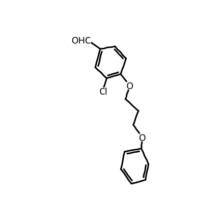 O=Cc1ccc(OCCCOc2ccccc2)c(Cl)c1